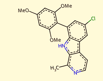 COc1cc(OC)c(-c2cc(Cl)cc3c2[nH]c2c(C)nccc23)c(OC)c1